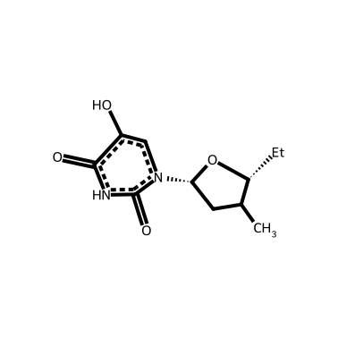 CC[C@H]1O[C@@H](n2cc(O)c(=O)[nH]c2=O)CC1C